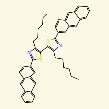 CCCCCCc1nc(-c2ccc3cc4ccccc4cc3c2)sc1-c1sc(-c2ccc3cc4ccccc4cc3c2)nc1CCCCCC